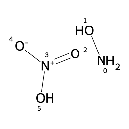 NO.O=[N+]([O-])O